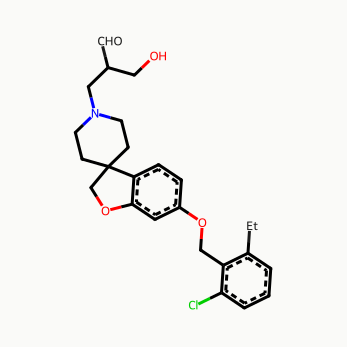 CCc1cccc(Cl)c1COc1ccc2c(c1)OCC21CCN(CC(C=O)CO)CC1